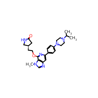 CC(C)N1CCN(c2ccc(-c3cc4ncn(C)c4c(OCC[C@H]4CNC(=O)C4)n3)cc2)CC1